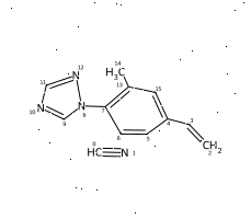 C#N.C=Cc1ccc(-n2cncn2)c(C)c1